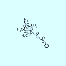 CC(=O)OC1C(OC(C)=O)[C@@H](OC(C)=O)C(C)O[C@H]1OCCC(=O)OCCC(=O)OCc1ccccc1